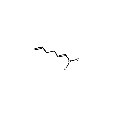 C=CCCC=[CH][Pt]([Cl])[Cl]